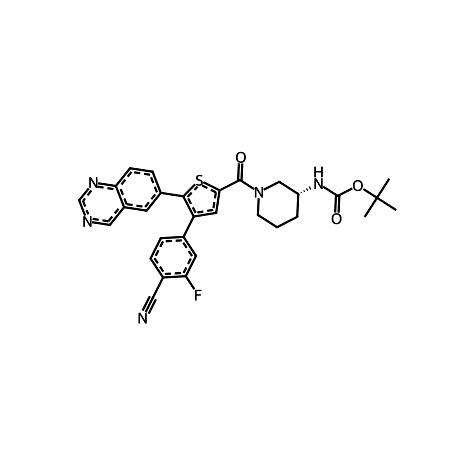 CC(C)(C)OC(=O)N[C@@H]1CCCN(C(=O)c2cc(-c3ccc(C#N)c(F)c3)c(-c3ccc4ncncc4c3)s2)C1